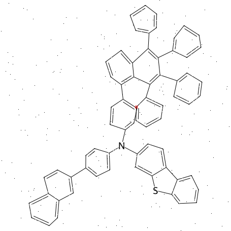 c1ccc(-c2c(-c3ccccc3)c(-c3ccccc3)c3c(-c4ccc(N(c5ccc(-c6ccc7ccccc7c6)cc5)c5ccc6c(c5)sc5ccccc56)cc4)cccc3c2-c2ccccc2)cc1